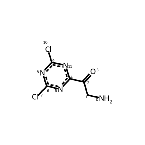 NCC(=O)c1nc(Cl)nc(Cl)n1